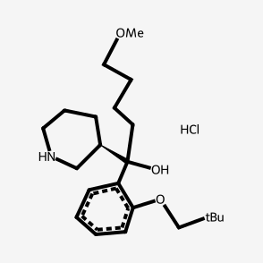 COCCCCC(O)(c1ccccc1OCC(C)(C)C)[C@@H]1CCCNC1.Cl